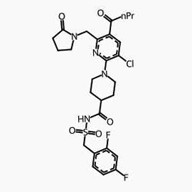 CCCC(=O)c1cc(Cl)c(N2CCC(C(=O)NS(=O)(=O)Cc3ccc(F)cc3F)CC2)nc1CN1CCCC1=O